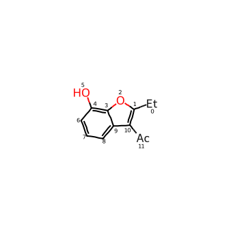 CCc1oc2c(O)cccc2c1C(C)=O